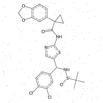 CC(C)(C)[S+]([O-])NC(c1ccc(Cl)c(Cl)c1)c1cnc(NC(=O)C2(c3ccc4c(c3)OCO4)CC2)s1